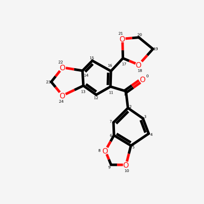 O=C(c1ccc2c(c1)OCO2)c1cc2c(cc1C1OCCO1)OCO2